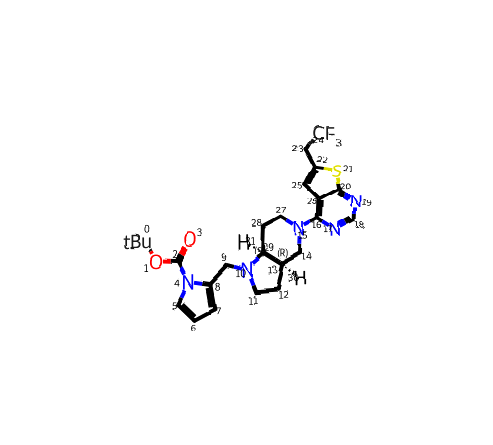 CC(C)(C)OC(=O)n1cccc1CN1CC[C@@H]2CN(c3ncnc4sc(CC(F)(F)F)cc34)CC[C@@H]21